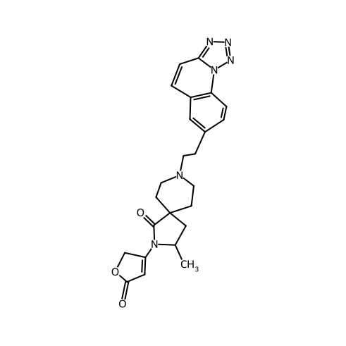 CC1CC2(CCN(CCc3ccc4c(ccc5nnnn54)c3)CC2)C(=O)N1C1=CC(=O)OC1